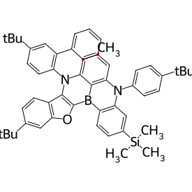 Cc1cc2c3c(c1)N(c1ccc(C(C)(C)C)cc1-c1ccccc1)c1c(oc4cc(C(C)(C)C)ccc14)B3c1ccc([Si](C)(C)C)cc1N2c1ccc(C(C)(C)C)cc1